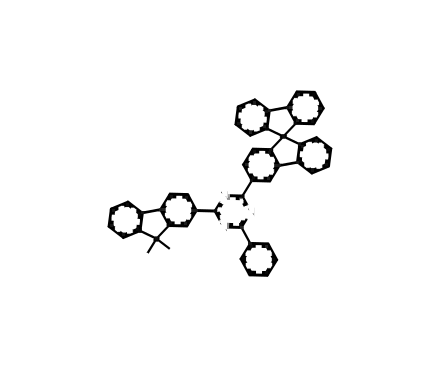 CC1(C)c2ccccc2-c2ccc(-c3nc(-c4ccccc4)nc(-c4ccc5c(c4)-c4ccccc4C54c5ccccc5-c5ccccc54)n3)cc21